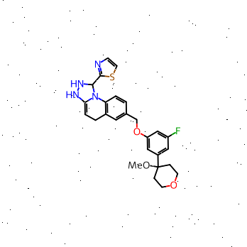 COC1(c2cc(F)cc(OCc3ccc4c(c3)CC=C3NNC(c5nccs5)N34)c2)CCOCC1